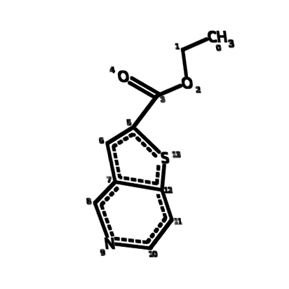 CCOC(=O)c1cc2cnccc2s1